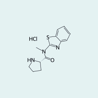 CN(C(=O)[C@@H]1CCCN1)c1nc2ccccc2s1.Cl